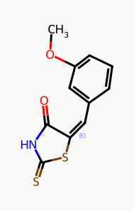 COc1cccc(/C=C2/SC(=S)NC2=O)c1